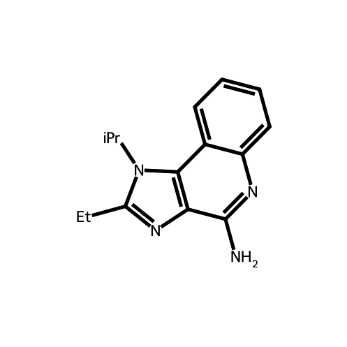 CCc1nc2c(N)nc3ccccc3c2n1C(C)C